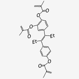 C=C(C)C(=O)Oc1ccc(/C(CC)=C(\CC)c2ccc(OC(=O)C(=C)C)c(OC(=O)C(=C)C)c2)cc1